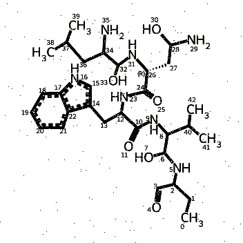 CCC(C=O)NC(O)C(NC(=O)C(Cc1c[nH]c2ccccc12)NC(=O)[C@@H](CC(N)O)NC(O)C(N)CC(C)C)C(C)C